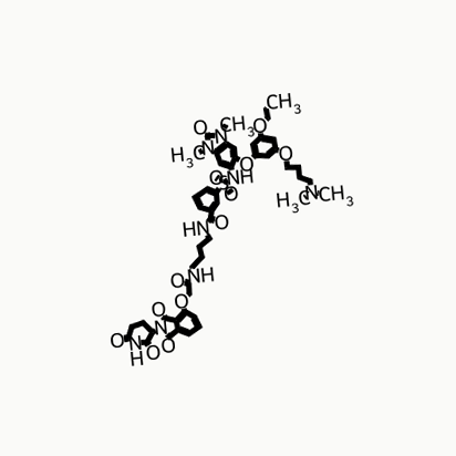 CCCOc1cc(OCCCCN(C)C)cc(Oc2cc3c(cc2NS(=O)(=O)c2cccc(C(=O)NCCCCNC(=O)COc4cccc5c4C(=O)N(C4CCC(=O)NC4=O)C5=O)c2)n(C)c(=O)n3C)c1